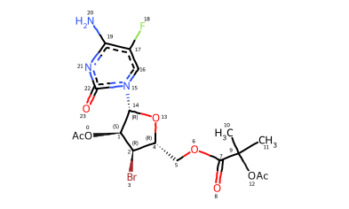 CC(=O)O[C@@H]1[C@H](Br)[C@@H](COC(=O)C(C)(C)OC(C)=O)O[C@H]1n1cc(F)c(N)nc1=O